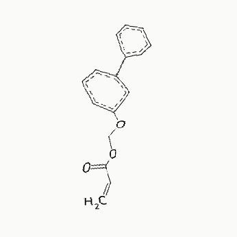 C=CC(=O)OCOc1cccc(-c2ccccc2)c1